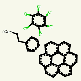 CCCCCCCCCCCCc1ccccc1.Clc1c(Cl)c(Cl)c(Cl)c(Cl)c1Cl.c1cc2ccc3ccc4ccc5ccc6ccc1c1c2c3c4c5c61